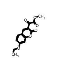 CCOc1ccc2cc(C(=O)C(=O)OC)c(=O)oc2c1